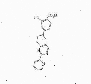 CCOC(=O)c1ccc(N2CCc3nc(-c4ccccn4)ncc3C2)cc1O